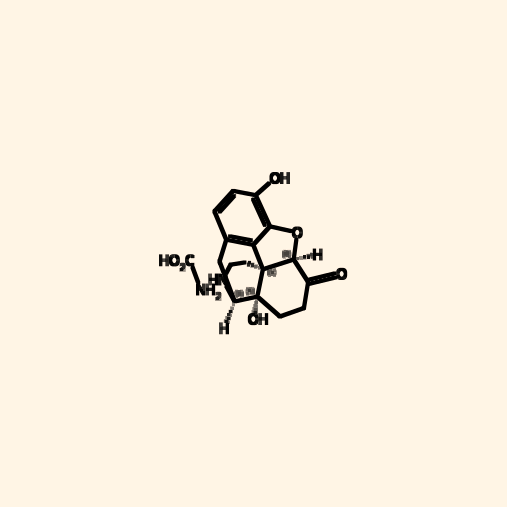 NC(=O)O.O=C1CC[C@@]2(O)[C@H]3Cc4ccc(O)c5c4[C@@]2(CCN3)[C@H]1O5